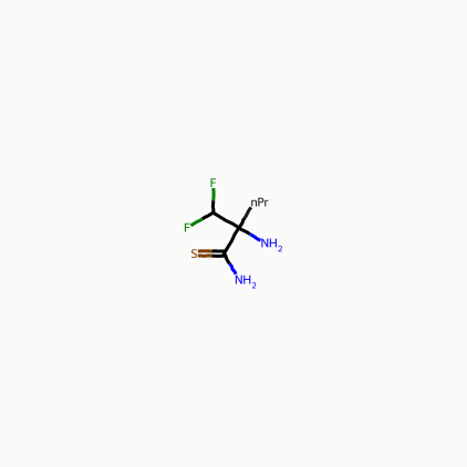 CCCC(N)(C(N)=S)C(F)F